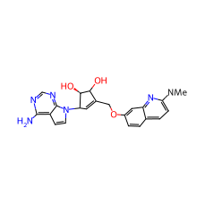 CNc1ccc2ccc(OCC3=CC(n4ccc5c(N)ncnc54)[C@@H](O)C3O)cc2n1